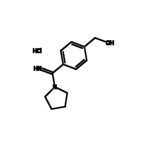 Cl.N=C(c1ccc(CO)cc1)N1CCCC1